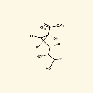 COC(=O)[C@]1(O)C(C)(C)[C@]1(O)[C@H](O)[C@@H](O)C(O)F